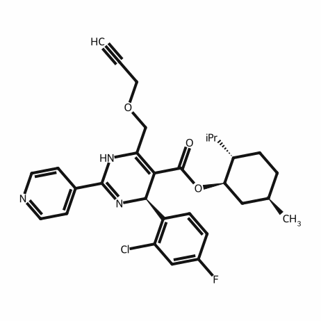 C#CCOCC1=C(C(=O)O[C@@H]2C[C@H](C)CC[C@H]2C(C)C)[C@@H](c2ccc(F)cc2Cl)N=C(c2ccncc2)N1